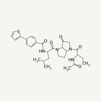 CCC(NC(C)=O)C(=O)N1CC(=O)C2C1CCN2C(=O)C(CC(C)C)NC(=O)c1ccc(-c2cccs2)cc1